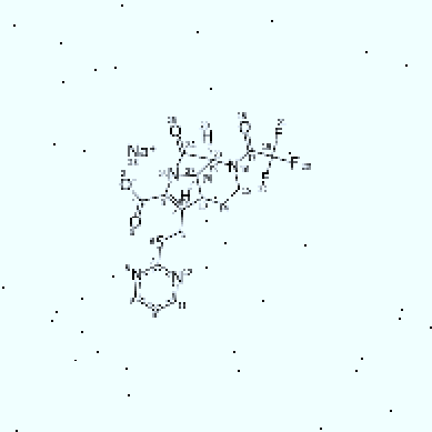 O=C([O-])C1=C(CSc2ncccn2)C2CCN(C(=O)C(F)(F)F)[C@@H]3C(=O)N1[C@H]23.[Na+]